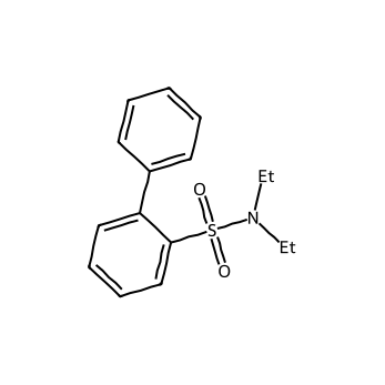 CCN(CC)S(=O)(=O)c1ccccc1-c1ccccc1